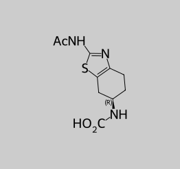 CC(=O)Nc1nc2c(s1)C[C@H](NC(=O)O)CC2